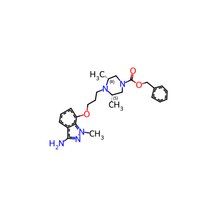 C[C@@H]1CN(C(=O)OCc2ccccc2)C[C@H](C)N1CCCOc1cccc2c(N)nn(C)c12